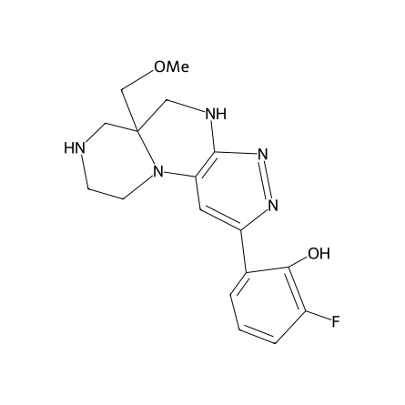 COCC12CNCCN1c1cc(-c3cccc(F)c3O)nnc1NC2